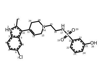 Cc1[nH]c2ccc(Cl)cc2c1C1=CCN(CCNS(=O)(=O)c2cccc(O)c2)CC1